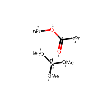 CCCOC(=O)CCC.CO[SiH](OC)OC